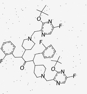 CC(C)(C)Oc1nc(F)cnc1CN1CCC(C(Cc2ccccc2F)C(=O)C(Cc2ccccc2F)C2CCN(Cc3ncc(F)nc3OC(C)(C)C)CC2)CC1